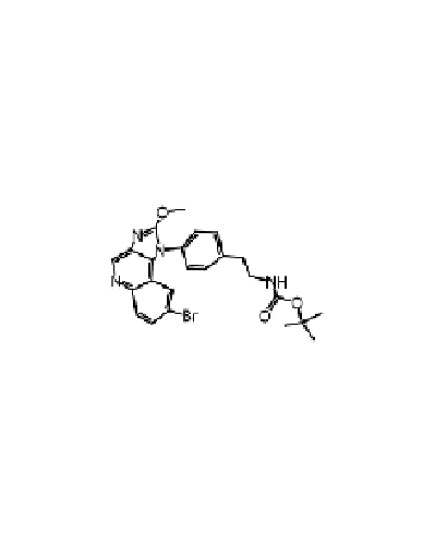 COc1nc2cnc3ccc(Br)cc3c2n1-c1ccc(CCNC(=O)OC(C)(C)C)cc1